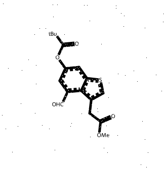 COC(=O)Cc1csc2cc(OC(=O)C(C)(C)C)cc(C=O)c12